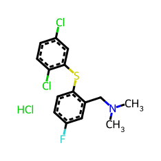 CN(C)Cc1cc(F)ccc1Sc1cc(Cl)ccc1Cl.Cl